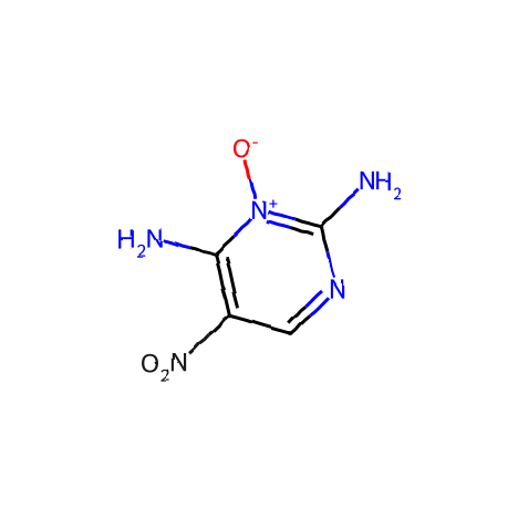 Nc1ncc([N+](=O)[O-])c(N)[n+]1[O-]